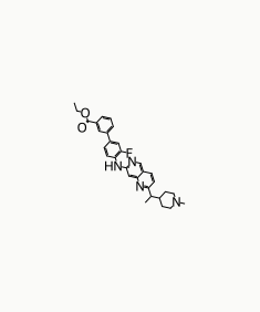 CCOC(=O)c1cccc(-c2ccc(Nc3cc4nc(C(C)C5CCN(C)CC5)ccc4cn3)c(F)c2)c1